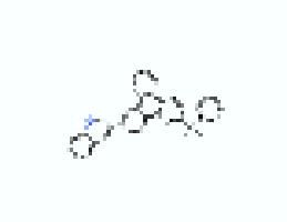 CC1(C)c2ccccc2-c2cc3c4ccccc4c4cc(-c5cnc6ccccc6c5)ccc4c3cc21